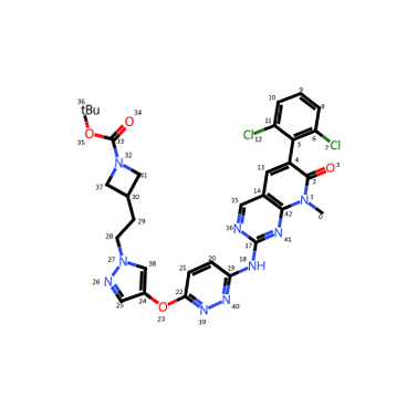 Cn1c(=O)c(-c2c(Cl)cccc2Cl)cc2cnc(Nc3ccc(Oc4cnn(CCC5CN(C(=O)OC(C)(C)C)C5)c4)nn3)nc21